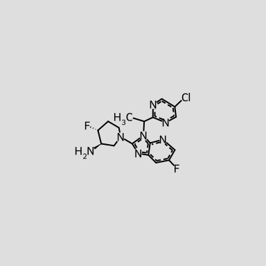 CC(c1ncc(Cl)cn1)n1c(N2CC[C@@H](F)[C@H](N)C2)nc2cc(F)cnc21